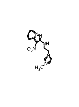 C[n+]1ccn(CCNc2nn3ccccc3c2[N+](=O)[O-])c1